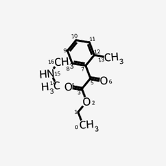 CCOC(=O)C(=O)c1ccccc1C.CNC